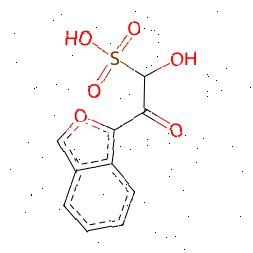 O=C(c1occ2ccccc12)C(O)S(=O)(=O)O